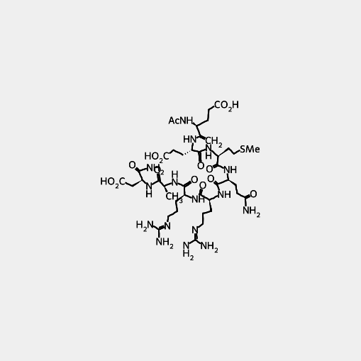 C=C(N[C@@H](CCC(=O)O)C(=O)N[C@@H](CCSC)C(=O)N[C@@H](CCC(N)=O)C(=O)N[C@@H](CCCN=C(N)N)C(=O)N[C@@H](CCCN=C(N)N)C(=O)N[C@@H](C)C(=O)N[C@@H](CC(=O)O)C(N)=O)[C@H](CCC(=O)O)NC(C)=O